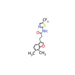 Cc1ccc2c(CCC(=O)Nc3ncc(C(F)(F)F)s3)coc2c1C